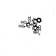 Nc1nc2c(nc(/N=N\c3ccccc3)n2[C@@H]2O[C@H](CO)[C@H](O)C2O)c(=O)[nH]1